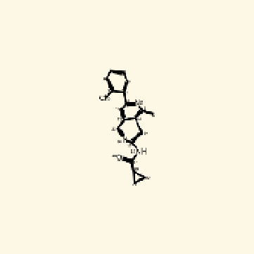 Cc1nc(-c2ccccc2Cl)cc2cnc(NC(=O)C3CC3)cc12